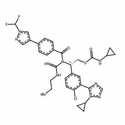 CC(C)(C)CCNC(=N)N(C(=O)c1ccc(-c2cnn(C(F)F)c2)cc1)[C@H](COC(=O)NC1CC1)c1ccc(Cl)c(-c2ncnn2C2CC2)c1